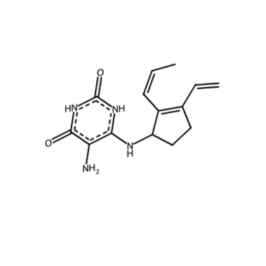 C=CC1=C(/C=C\C)C(Nc2[nH]c(=O)[nH]c(=O)c2N)CC1